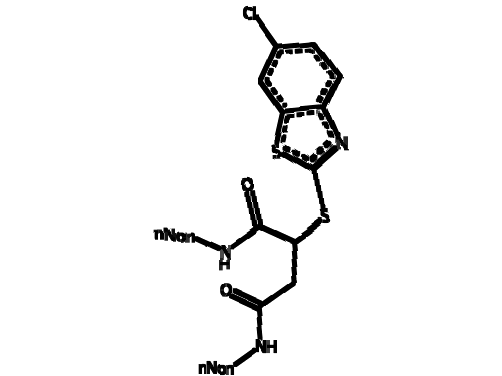 CCCCCCCCCNC(=O)CC(Sc1nc2ccc(Cl)cc2s1)C(=O)NCCCCCCCCC